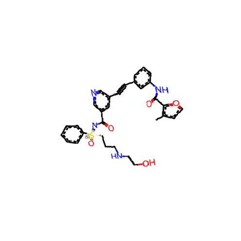 Cc1ccoc1C(=O)Nc1cccc(C#Cc2cncc(C(=O)N=[S@](=O)(CCCNCCO)c3ccccc3)c2)c1